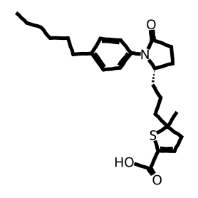 CCCCCCc1ccc(N2C(=O)CC[C@@H]2CCCC2(C)CC=C(C(=O)O)S2)cc1